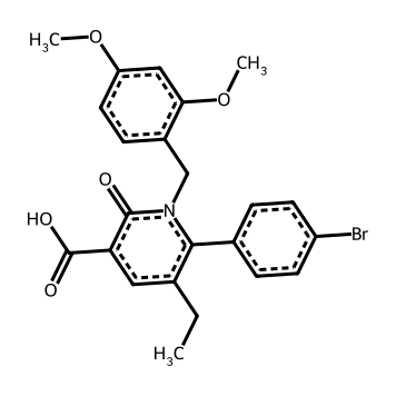 CCc1cc(C(=O)O)c(=O)n(Cc2ccc(OC)cc2OC)c1-c1ccc(Br)cc1